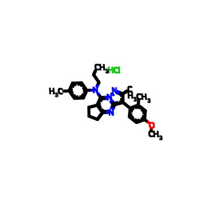 CCCN(c1ccc(C)cc1)c1c2c(nc3c(-c4ccc(OC)cc4C)c(C)nn13)CCC2.Cl